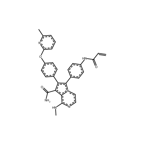 C=CC(=O)Nc1ccc(-c2c(-c3ccc(Oc4cccc(C)n4)cc3)c(C(N)=O)c3c(NC)nccn23)cc1